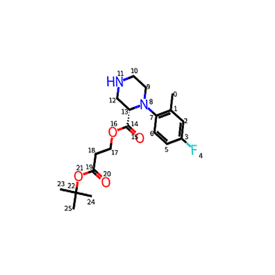 Cc1cc(F)ccc1N1CCNC[C@H]1C(=O)OCCC(=O)OC(C)(C)C